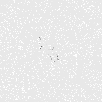 N#Cc1cc2c(cc1C(F)(F)F)C(=O)N(C1CCC(=O)NC1=O)C2